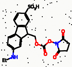 CCNc1ccc2c(c1)C(COC(=O)ON1C(=O)CCC1=O)c1cc(S(=O)(=O)O)ccc1-2